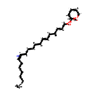 CCCCCC/C=C\CCCCCCCCCCCCOC1CCCCO1